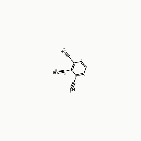 C#Cc1[c]ccc(C#C)c1C#C